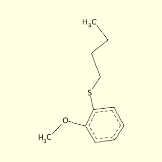 CCCCSc1ccccc1OC